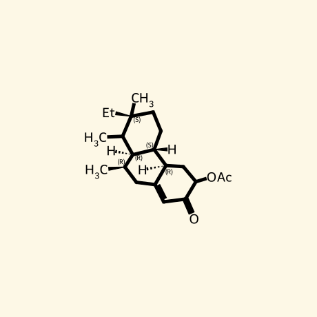 CC[C@@]1(C)CC[C@H]2[C@H](C1C)[C@H](C)CC1=CC(=O)C(OC(C)=O)C[C@@H]12